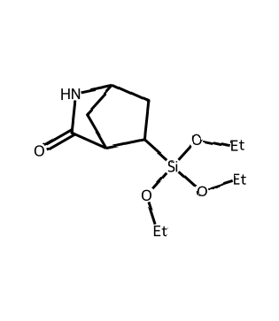 CCO[Si](OCC)(OCC)C1CC2CC1C(=O)N2